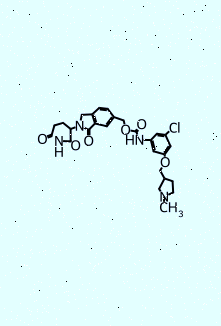 CN1CCC(COc2cc(Cl)cc(NC(=O)OCc3ccc4c(c3)C(=O)N(C3CCC(=O)NC3=O)C4)c2)C1